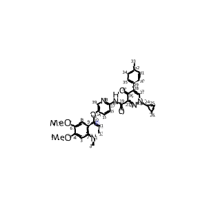 C=Nc1cc(OC)c(OC)cc1/C(=C\C)Oc1ccc(NC(=O)c2nn(C3CC3)cc(-c3ccc(C)cc3)c2=O)nc1